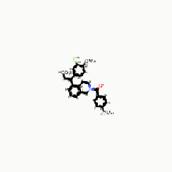 COc1ccc(C(=O)N2CCc3c(cccc3C(CC(=O)O)c3ccc(OC)c(F)c3)C2)cc1